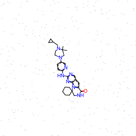 CC1(C)CN(c2ccc(Nc3ncc4cc5n(c4n3)C3(CCCCC3)CNC5=O)nc2)CCN1CC1CC1